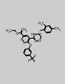 C=C(OCC)c1cc(C2=NOC[C@@H](Cc3ccc(C)cc3C)N2)c(Oc2cccc(C(F)(F)F)c2)nn1